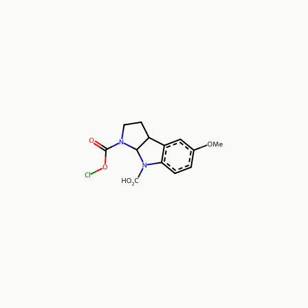 COc1ccc2c(c1)C1CCN(C(=O)OCl)C1N2C(=O)O